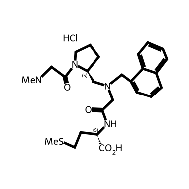 CNCC(=O)N1CCC[C@H]1CN(CC(=O)N[C@@H](CCSC)C(=O)O)Cc1cccc2ccccc12.Cl